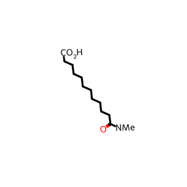 CNC(=O)CCCCCCCCCCC(=O)O